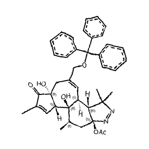 CC(=O)O[C@@]12C[C@@H](C)[C@@]3(O)[C@@H](C=C(COC(c4ccccc4)(c4ccccc4)c4ccccc4)C[C@]4(O)C(=O)C(C)=C[C@@H]34)[C@@H]1C(C)(C)N=N2